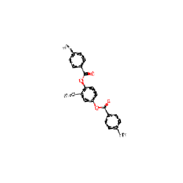 CCCc1ccc(C(=O)Oc2ccc(OC(=O)c3ccc(CCC)cc3)c(OC)c2)cc1